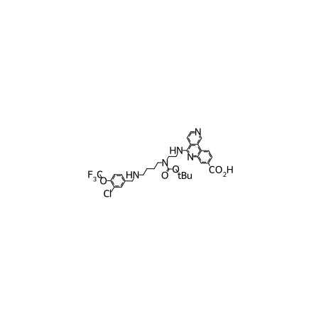 CC(C)(C)OC(=O)N(CCCCNCc1ccc(OC(F)(F)F)c(Cl)c1)CCNc1nc2cc(C(=O)O)ccc2c2cnccc12